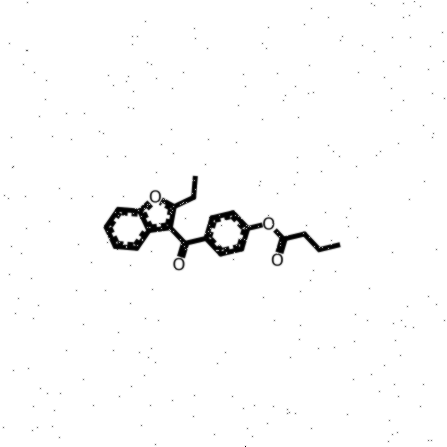 CCCC(=O)Oc1ccc(C(=O)c2c(CC)oc3ccccc23)cc1